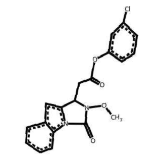 CON1C(=O)n2c(cc3ccccc32)C1CC(=O)Oc1cccc(Cl)c1